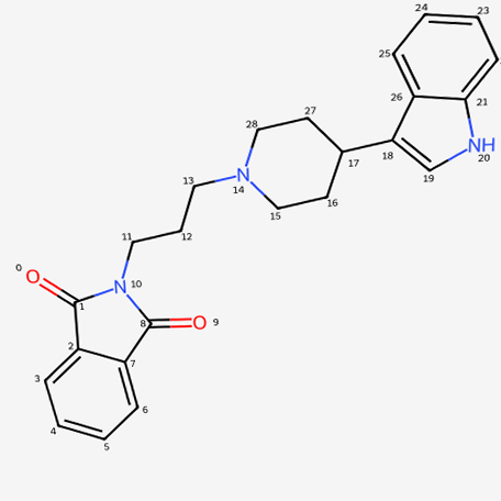 O=C1c2ccccc2C(=O)N1CCCN1CCC(c2c[nH]c3ccccc23)CC1